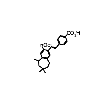 CCCCCCCCc1cc2c(cc1C=Cc1ccc(C(=O)O)cc1)CCC(C)(C)CC2C